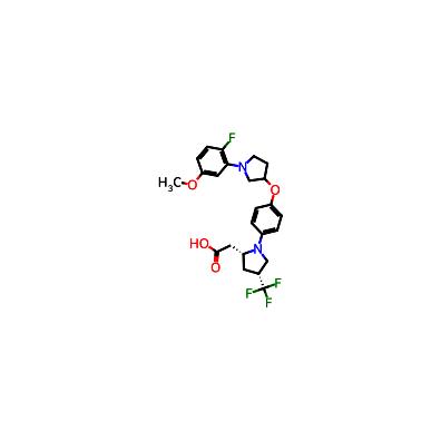 COc1ccc(F)c(N2CCC(Oc3ccc(N4C[C@H](C(F)(F)F)C[C@@H]4CC(=O)O)cc3)C2)c1